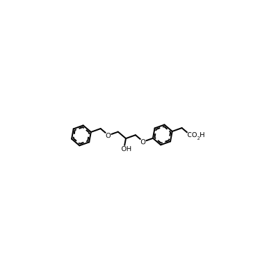 O=C(O)Cc1ccc(OCC(O)COCc2ccccc2)cc1